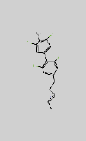 C/C=C/CCc1cc(F)c(-c2cc(F)c(C(F)(F)F)c(F)c2)c(F)c1